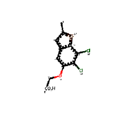 Cc1cc2cc(OCC(=O)O)c(Cl)c(Cl)c2s1